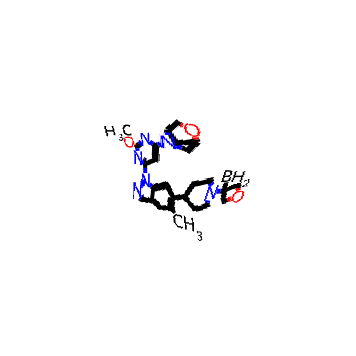 BC1(N2CCC(c3cc4c(cnn4-c4cc(N5CC6CC5CO6)nc(OC)n4)cc3C)CC2)COC1